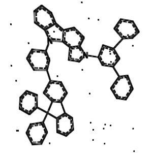 c1ccc(-c2cc(-c3ccccc3)cc(-n3ccc4c3ccc3c5ccccc5n(-c5cccc(-c6ccc7c(c6)C(c6ccccc6)(c6ccccc6)c6ccccc6-7)c5)c34)c2)cc1